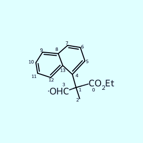 CCOC(=O)C(C)([C]=O)c1cccc2ccccc12